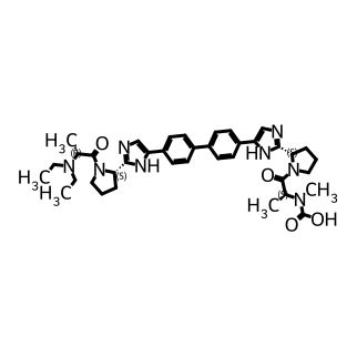 CCN(CC)[C@H](C)C(=O)N1CCC[C@H]1c1ncc(-c2ccc(-c3ccc(-c4cnc([C@@H]5CCCN5C(=O)[C@H](C)N(C)C(=O)O)[nH]4)cc3)cc2)[nH]1